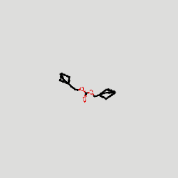 O=C(OCC12CC(C1)C2)OCC12CC(C1)C2